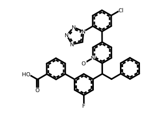 O=C(O)c1cccc(-c2cc(F)cc(C(Cc3ccccc3)c3ccc(-c4cc(Cl)ccc4-n4cnnn4)c[n+]3[O-])c2)c1